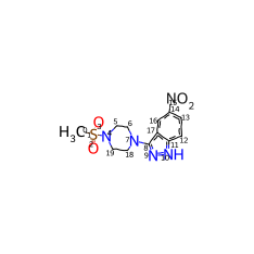 CS(=O)(=O)N1CCN(c2n[nH]c3ccc([N+](=O)[O-])cc23)CC1